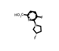 O=C(O)c1ccc(F)c(N2CC[C@H](F)C2)n1